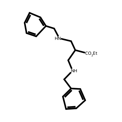 CCOC(=O)C(CNCc1ccccc1)CNCc1ccccc1